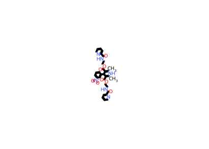 CC1=C(C(=O)OCCNC(=O)c2ccccn2)C(c2cccc([N+](=O)[O-])c2)C(C(=O)OCCNC(=O)c2ccccn2)=C(C)N1